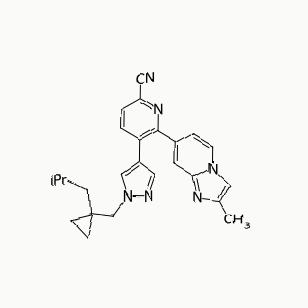 Cc1cn2ccc(-c3nc(C#N)ccc3-c3cnn(CC4(CC(C)C)CC4)c3)cc2n1